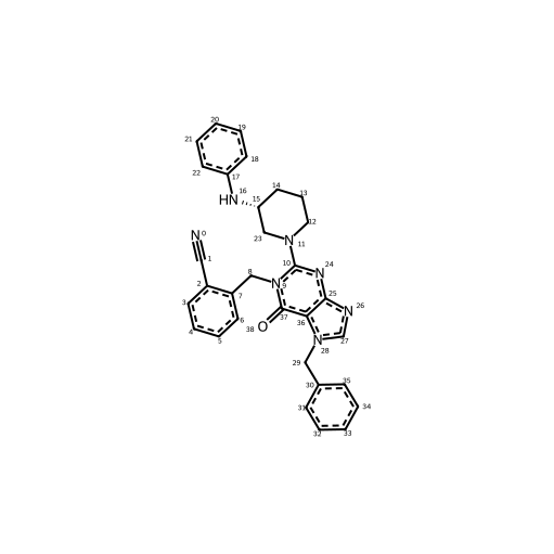 N#Cc1ccccc1Cn1c(N2CCC[C@@H](Nc3ccccc3)C2)nc2ncn(Cc3ccccc3)c2c1=O